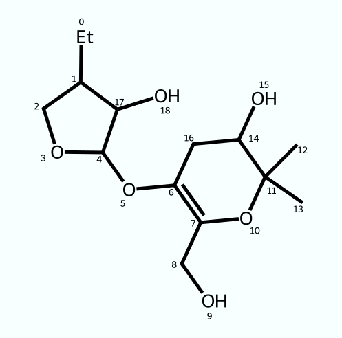 CCC1COC(OC2=C(CO)OC(C)(C)C(O)C2)C1O